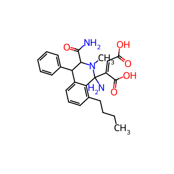 CCCCc1cccc2c1C(N)(C(=CC(=O)O)C(=O)O)N(C)C(C(N)=O)C2c1ccccc1